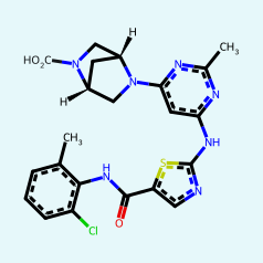 Cc1nc(Nc2ncc(C(=O)Nc3c(C)cccc3Cl)s2)cc(N2C[C@H]3C[C@@H]2CN3C(=O)O)n1